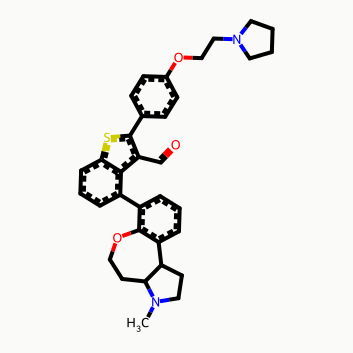 CN1CCC2c3cccc(-c4cccc5sc(-c6ccc(OCCN7CCCC7)cc6)c(C=O)c45)c3OCCC21